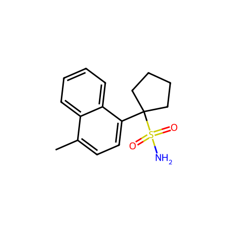 Cc1ccc(C2(S(N)(=O)=O)CCCC2)c2ccccc12